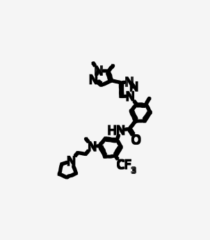 Cc1ccc(C(=O)Nc2cc(N(C)CCN3CCCC3)cc(C(F)(F)F)c2)cc1-n1cc(-c2cnn(C)c2C)nn1